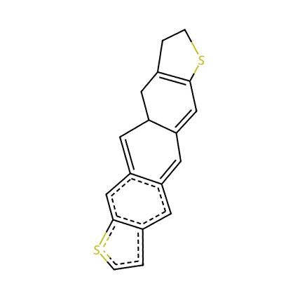 C1=C2C=c3cc4ccsc4cc3=CC2CC2=C1SCC2